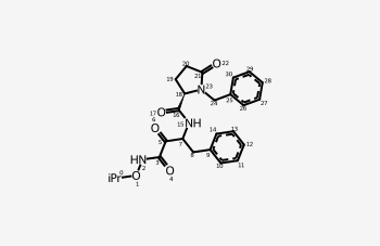 CC(C)ONC(=O)C(=O)C(Cc1ccccc1)NC(=O)[C@H]1CCC(=O)N1Cc1ccccc1